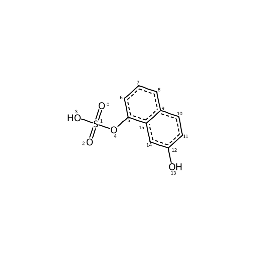 O=S(=O)(O)Oc1cccc2ccc(O)cc12